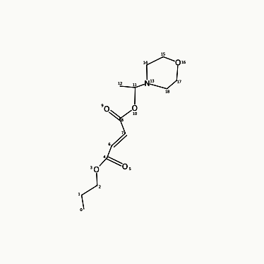 CCCOC(=O)C=CC(=O)OC(C)N1CCOCC1